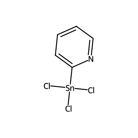 [Cl][Sn]([Cl])([Cl])[c]1ccccn1